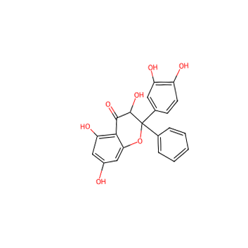 O=C1c2c(O)cc(O)cc2OC(c2ccccc2)(c2ccc(O)c(O)c2)C1O